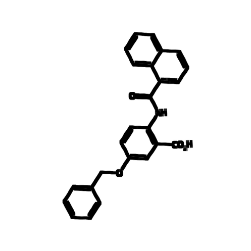 O=C(O)c1cc(OCc2ccccc2)ccc1NC(=O)c1cccc2ccccc12